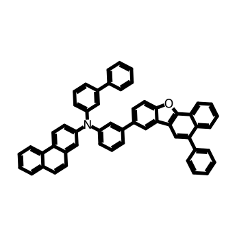 c1ccc(-c2cccc(N(c3cccc(-c4ccc5oc6c7ccccc7c(-c7ccccc7)cc6c5c4)c3)c3ccc4c(ccc5ccccc54)c3)c2)cc1